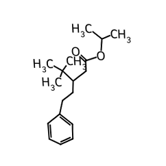 CC(C)OC(=O)CC(CCc1ccccc1)C(C)(C)C